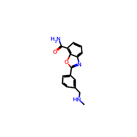 CNCc1cccc(-c2nc3cccc(C(N)=O)c3o2)c1